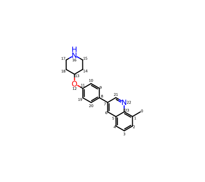 Cc1cccc2cc(-c3ccc(OC4CCNCC4)cc3)cnc12